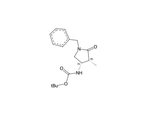 C[C@H]1C(=O)N(Cc2ccccc2)C[C@H]1NC(=O)OC(C)(C)C